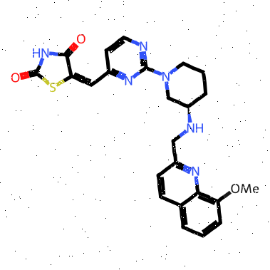 COc1cccc2ccc(CN[C@@H]3CCCN(c4nccc(C=C5SC(=O)NC5=O)n4)C3)nc12